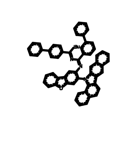 CCC(C)/C(=N\C(=N/c1cc2c(cc1-n1c3cc4ccccc4cc3c3ccc4ccccc4c31)oc1ccccc12)c1cccc(-c2ccccc2)c1)c1ccc(-c2ccccc2)cc1